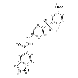 COc1ccc(F)c(S(=O)(=O)c2ccc(CNC(=O)c3cnc4[nH]ncc4c3)cc2)c1